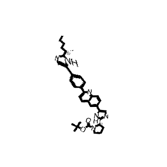 CCCC[C@H](C)c1ncc(-c2ccc(-c3ccc4cc(-c5cnc([C@@H]6CCCN6C(=O)OC(C)(C)C)[nH]5)ccc4n3)cc2)[nH]1